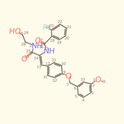 COc1cccc(COc2ccc(C=C(NC(=O)c3ccccc3F)C(=O)NCCO)cc2)c1